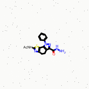 CC(=O)Nc1nc2c(s1)-c1c(c(C(=O)NN)nn1-c1ccccc1)CC2